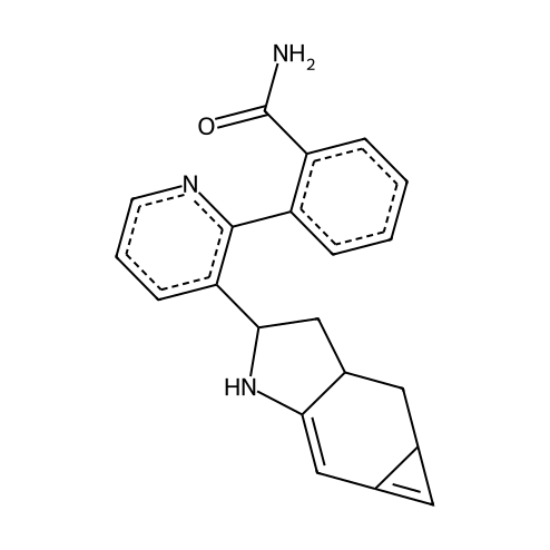 NC(=O)c1ccccc1-c1ncccc1C1CC2CC3C=C3C=C2N1